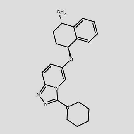 N[C@H]1CC[C@H](Oc2ccc3nnc(N4CCCCC4)n3c2)c2ccccc21